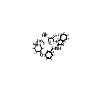 C[N+]1(C)CCC(Oc2cccc(CNc3nc4ccccc4n3[C@@H]3O[C@H](CO)[C@@H](O)[C@H]3O)c2)CC1.[I-]